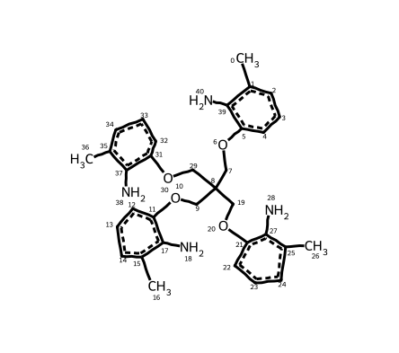 Cc1cccc(OCC(COc2cccc(C)c2N)(COc2cccc(C)c2N)COc2cccc(C)c2N)c1N